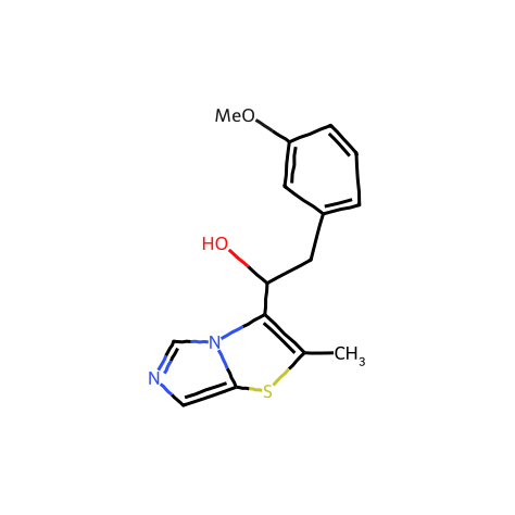 COc1cccc(CC(O)c2c(C)sc3cncn23)c1